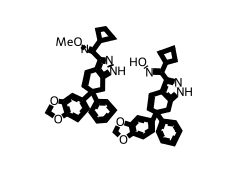 CON=C(c1n[nH]c2c1C=CC(c1ccccc1)(c1ccc3c(c1)OCO3)C2)C1CCC1.ON=C(c1n[nH]c2c1C=CC(c1ccccc1)(c1ccc3c(c1)OCO3)C2)C1CCC1